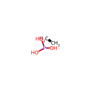 C=C.OP(O)O